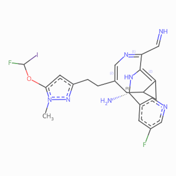 Cn1nc(CC/C2=C/N=C(C=N)\C(N[C@@H](N)c3cncc(F)c3)=C3/CC3C2)cc1OC(F)I